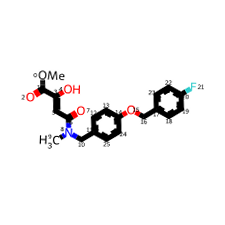 COC(=O)C(O)=CC(=O)N(C)Cc1ccc(OCc2ccc(F)cc2)cc1